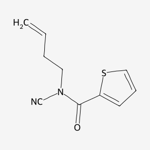 C=CCCN(C#N)C(=O)c1cccs1